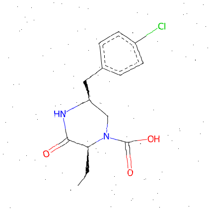 CC[C@H]1C(=O)N[C@@H](Cc2ccc(Cl)cc2)CN1C(=O)O